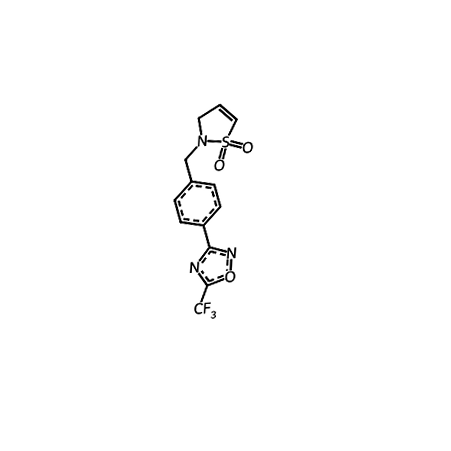 O=S1(=O)C=CCN1Cc1ccc(-c2noc(C(F)(F)F)n2)cc1